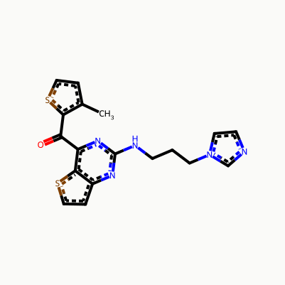 Cc1ccsc1C(=O)c1nc(NCCCn2ccnc2)nc2ccsc12